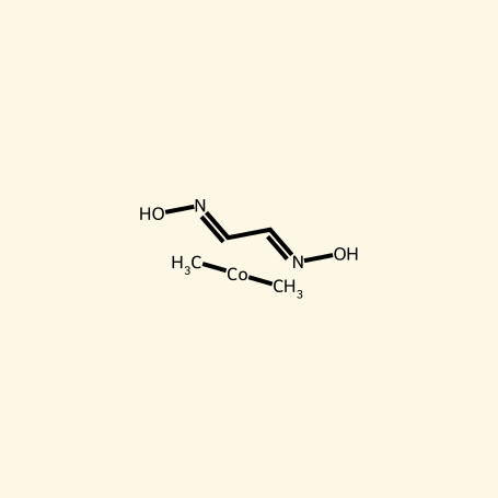 ON=CC=NO.[CH3][Co][CH3]